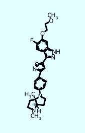 COCCOc1cc2[nH]nc(-c3cc(-c4ccc(N5CC[C@@H]6N(C)CC[C@@]65C)cc4)no3)c2cc1F